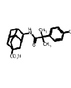 CC(C)(C(=O)NC1C2CC3CC1CC(C(=O)O)(C3)C2)c1ccc(Cl)cc1